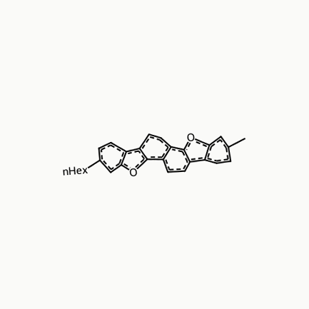 CCCCCCc1ccc2c(c1)oc1c2ccc2c1ccc1c3ccc(C)cc3oc12